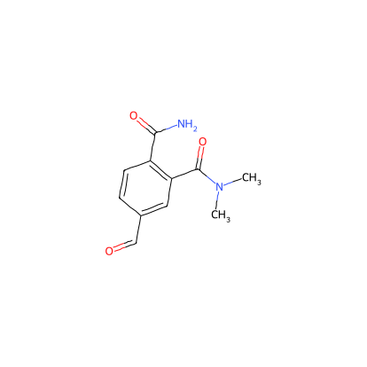 CN(C)C(=O)c1cc(C=O)ccc1C(N)=O